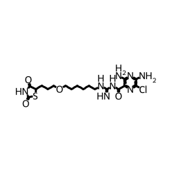 N=C(NCCCCCCOCCCC1SC(=O)NC1=O)NC(=O)c1nc(Cl)c(N)nc1N